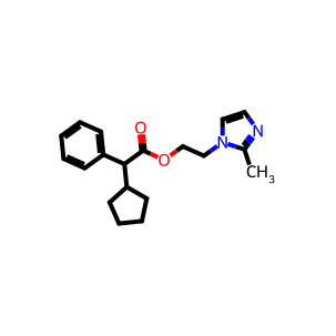 Cc1nccn1CCOC(=O)C(c1ccccc1)C1CCCC1